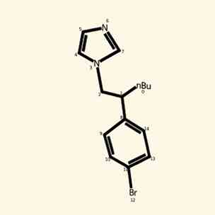 CCCCC(Cn1ccnc1)c1ccc(Br)cc1